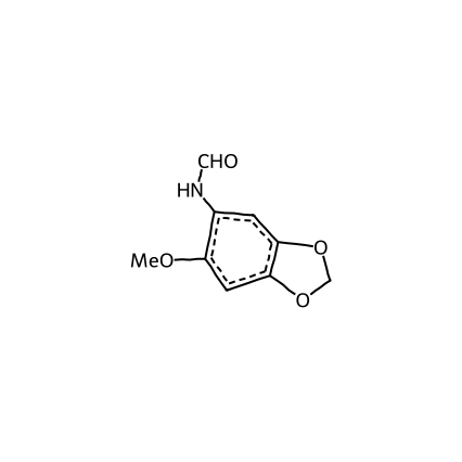 COc1cc2c(cc1NC=O)OCO2